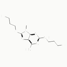 Cn1c(OCCCO)nc2c(N)nc(NCCCO)nc21